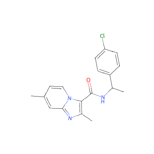 Cc1ccn2c(C(=O)NC(C)c3ccc(Cl)cc3)c(C)nc2c1